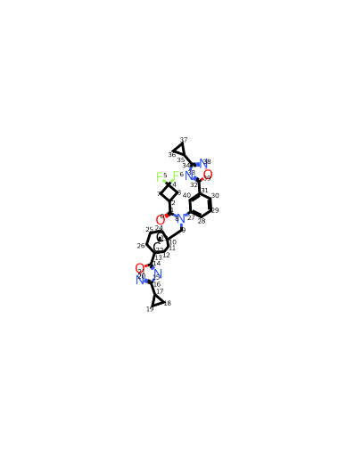 O=C(C1CC(F)(F)C1)N(CC1CCC2(c3nc(C4CC4)no3)CCC1CC2)c1cccc(-c2nc(C3CC3)no2)c1